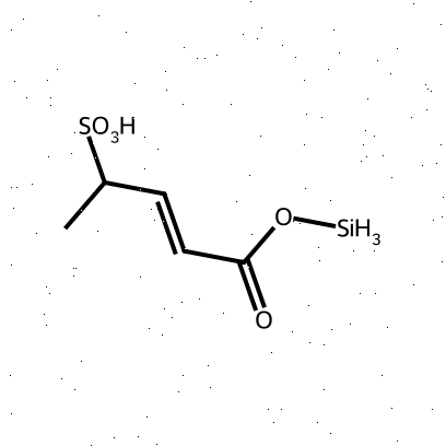 CC(C=CC(=O)O[SiH3])S(=O)(=O)O